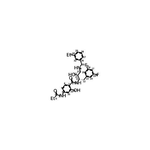 CCC(=O)Nc1ccc(C(=O)N[C@@H](Cc2cc(F)cc(F)c2)[C@@H](O)CNCc2cccc(CC)c2)c(O)c1